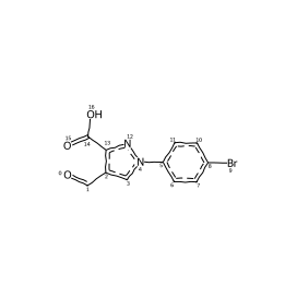 O=Cc1cn(-c2ccc(Br)cc2)nc1C(=O)O